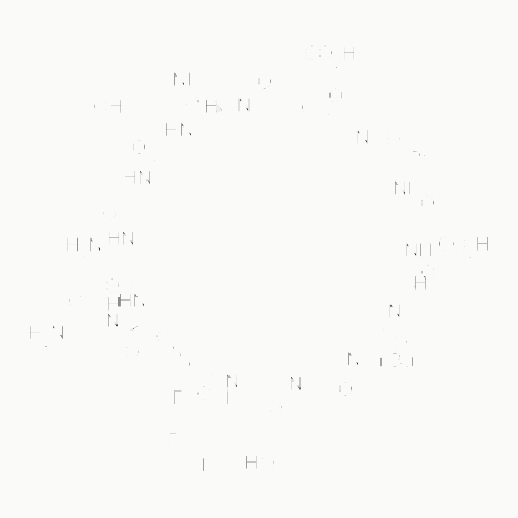 CCCC[C@H]1C(=O)N2CCC[C@@H]2C(=O)N[C@@H](CC(=O)O)C(=O)N[C@@H](C(C)C)C(=O)N(C)[C@@H](Cc2ccccc2)C(=O)C[C@@H](CCC(=O)O)C(=O)N2CCCC[C@@H]2C(=O)N[C@@H](Cc2c[nH]c3ccccc23)C(=O)N[C@@H](Cc2ccc(O)cc2)C(=O)N[C@@H](CN)C(=O)N[C@H](C(=O)NCC(N)=O)CSCC(=O)N[C@@H](Cc2cc(F)c(F)c(F)c2)C(=O)N(C)[C@@H](Cc2ccc(O)cc2)C(=O)N1C